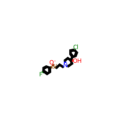 [O-][S+](CCCN1CCC(O)(c2ccc(Cl)cc2)CC1)c1ccc(F)cc1